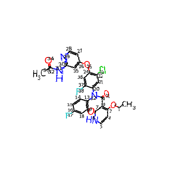 CCOc1cc[nH]c(=O)c1C(=O)N(c1ccc(F)cc1)c1cc(Cl)c(Oc2ccnc(NC(C)=O)c2)cc1F